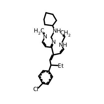 C=CN/C=C\C(=C/C(CC)c1ccc(Cl)cc1)C(/C=C\N=C)=NCNC1CCCCC1